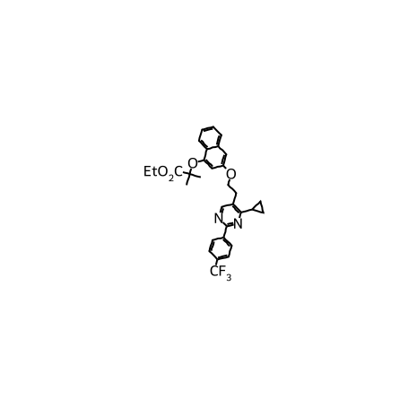 CCOC(=O)C(C)(C)Oc1cc(OCCc2cnc(-c3ccc(C(F)(F)F)cc3)nc2C2CC2)cc2ccccc12